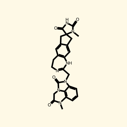 CN1C(=O)Cn2c(=O)n(CC3=NCCc4cc5c(cc4N3)CC3(C5)C(=O)NC(=O)N3C)c3cccc1c32